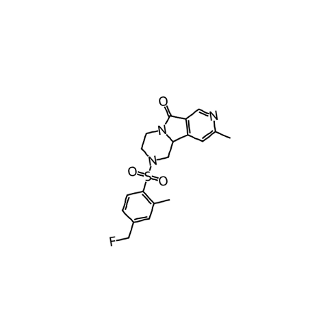 Cc1cc2c(cn1)C(=O)N1CCN(S(=O)(=O)c3ccc(CF)cc3C)CC21